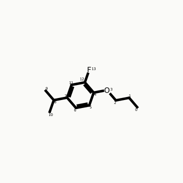 CCCOc1ccc([C](C)C)cc1F